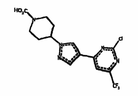 O=C(O)N1CCC(n2cc(-c3cc(C(F)(F)F)nc(Cl)n3)cn2)CC1